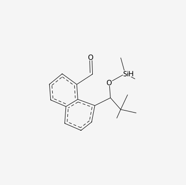 C[SiH](C)OC(c1cccc2cccc(C=O)c12)C(C)(C)C